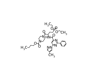 CCCCOC(=O)N1CCN(C(=O)C(CCP(=O)(OCC)OCC)NC(=O)c2cc(-n3cc(C)cn3)nc(-c3ccccc3)n2)CC1